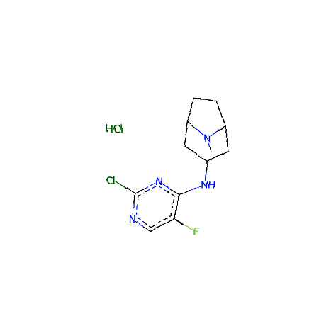 CN1C2CCC1CC(Nc1nc(Cl)ncc1F)C2.Cl